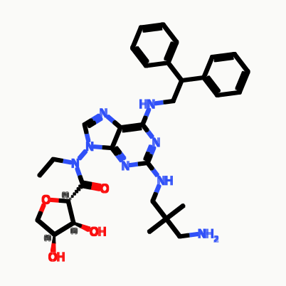 CCN(C(=O)[C@H]1OC[C@H](O)[C@@H]1O)n1cnc2c(NCC(c3ccccc3)c3ccccc3)nc(NCC(C)(C)CN)nc21